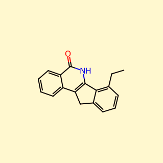 CCc1cccc2c1-c1[nH]c(=O)c3ccccc3c1C2